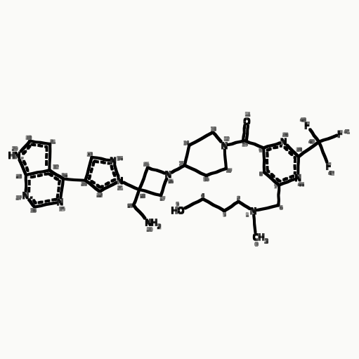 CN(CCCO)Cc1cc(C(=O)N2CCC(N3CC(CN)(n4cc(-c5ncnc6[nH]ccc56)cn4)C3)CC2)nc(C(F)(F)F)n1